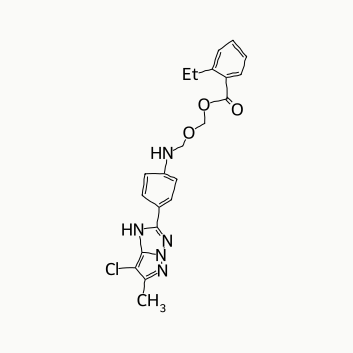 CCc1ccccc1C(=O)OCOCNc1ccc(-c2nn3nc(C)c(Cl)c3[nH]2)cc1